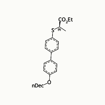 CCCCCCCCCCOc1ccc(-c2ccc(S[C@H](C)C(=O)OCC)cc2)cc1